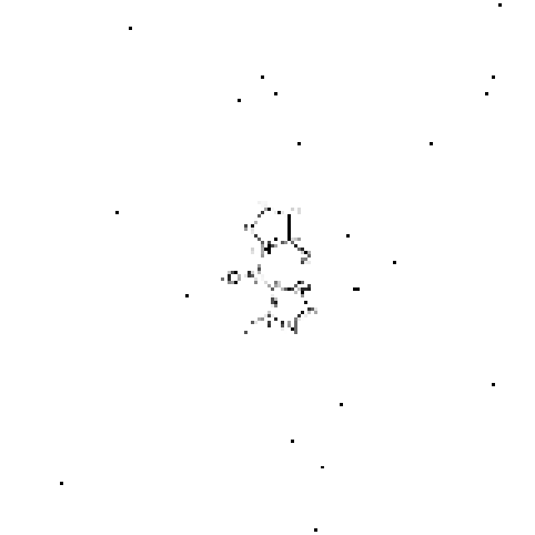 Cc1ncsc1C(=O)N1CCC[C@H]1C